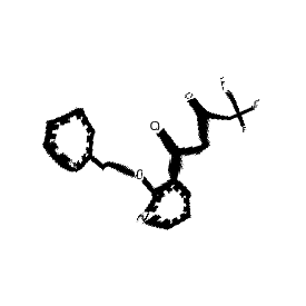 O=C(CC(=O)C(F)(F)F)c1cccnc1OCc1ccccc1